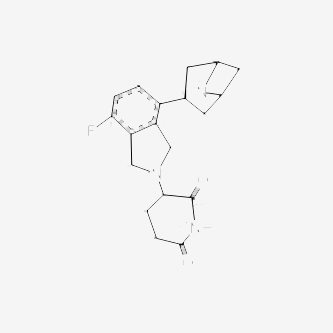 O=C1CCC(N2Cc3c(F)ccc(C4CC5CC(C4)N5)c3C2)C(=O)N1